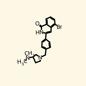 CN(C)C1CCN(Cc2ccc(-c3cc4c(Br)cccc4c(=O)[nH]3)cc2)C1